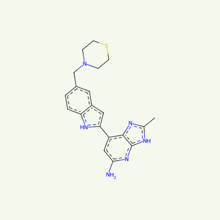 Cc1nc2c(-c3cc4cc(CN5CCSCC5)ccc4[nH]3)cc(N)nc2[nH]1